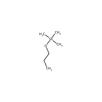 CCC[O][Sn]([CH3])([CH3])[CH3]